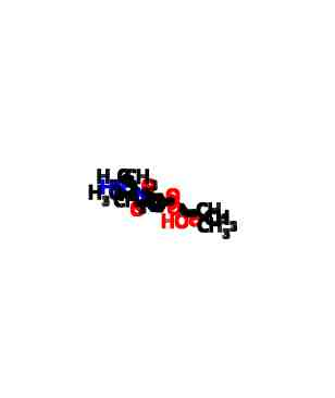 CC1(C)CC(N2C(=O)c3ccc(C(=O)OCC(O)COC(C)(C)C)cc3C2=O)CC(C)(C)N1